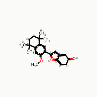 COc1cc2c(cc1-c1cc3c(o1)=CCC(=O)C=3)C(C)(C)CCC2(C)C